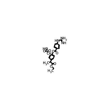 CCOC(=O)C(C)c1ccc(OC(=O)c2ccc(NC(=N)N)cc2)cc1.CS(=O)(=O)O